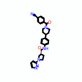 N#Cc1ccc(C(=O)N2CCC(c3ccc(NC(=O)[C@H]4CCN(c5cccnn5)C4)cc3)CC2)cc1